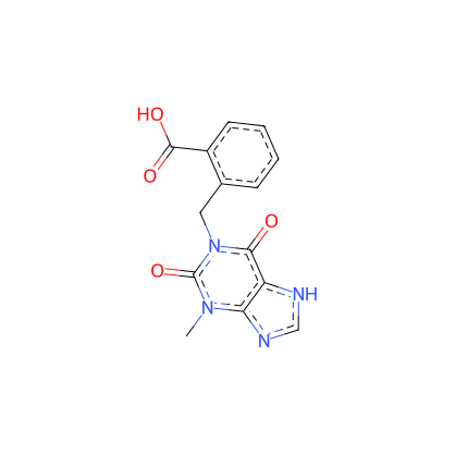 Cn1c(=O)n(Cc2ccccc2C(=O)O)c(=O)c2[nH]cnc21